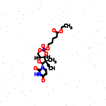 C#C[C@]1(C)[C@@H]2OP(=O)(OCCCCC(=O)OCC)OC[C@H]2O[C@H]1n1ccc(=O)[nH]c1=O